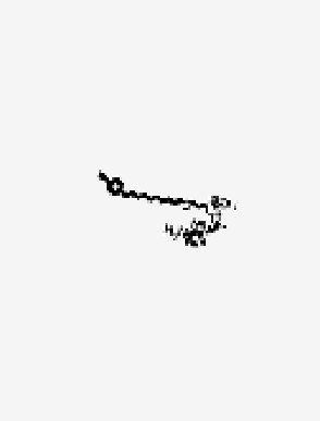 C#Cc1ccc(CCCCCCCCCCOCCCOP(=O)(O)CO[C@H](C)Cn2cnc3c(N)ncnc32)cc1